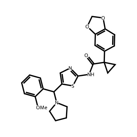 COc1ccccc1C(c1cnc(NC(=O)C2(c3ccc4c(c3)OCO4)CC2)s1)N1CCCC1